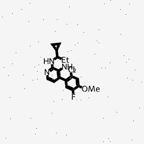 CCC(Nc1nccc(-c2cc(F)c(OC)cc2Cl)c1N)C1CC1